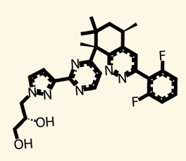 C[C@@H]1CC(C)(C)[C@@](C)(c2ccnc(-c3ccn(C[C@H](O)CO)n3)n2)c2nnc(-c3c(F)cccc3F)cc21